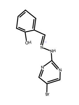 Oc1ccccc1/C=N/Nc1ncc(Br)cn1